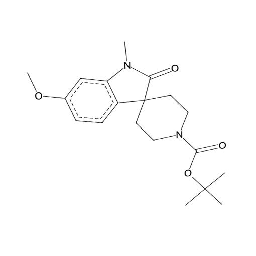 COc1ccc2c(c1)N(C)C(=O)C21CCN(C(=O)OC(C)(C)C)CC1